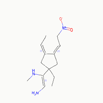 C/C=C1/CC(CC)(/C(=C/N)NC)C/C1=C/C[N+](=O)[O-]